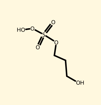 O=S(=O)(OO)OCCCO